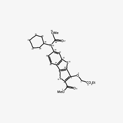 CCOC(=O)COc1c(C(=O)OC)sc2c1sc1cc(N(C(=O)OC)C3CCCCC3)ccc12